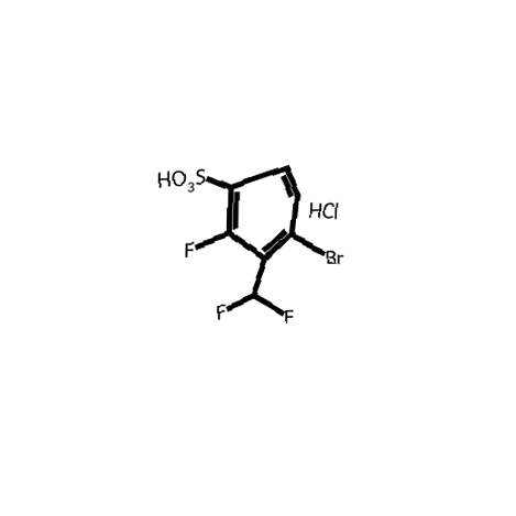 Cl.O=S(=O)(O)c1ccc(Br)c(C(F)F)c1F